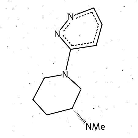 CN[C@@H]1CCCN(c2cccnn2)C1